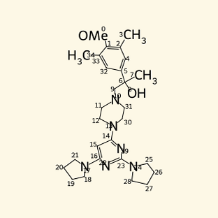 COc1c(C)cc(C(C)(O)CN2CCN(c3cc(N4CCCC4)nc(N4CCCC4)n3)CC2)cc1C